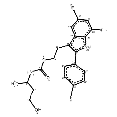 CC(CCO)NC(=O)OCCc1c(-c2ccc(F)cc2)[nH]c2c(F)cc(F)cc12